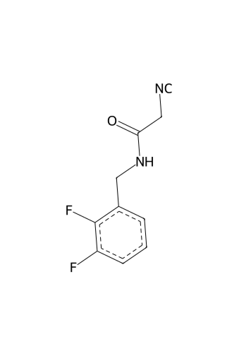 [C-]#[N+]CC(=O)NCc1cccc(F)c1F